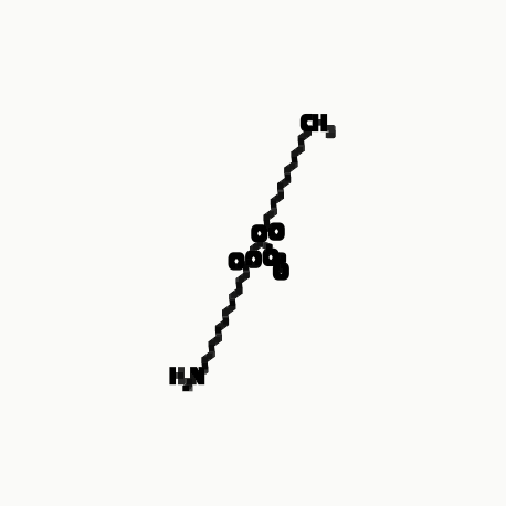 CCCCCCCCCCCCCC(=O)O[C@@H](COP=O)COC(=O)CCCCCCCCCCCCCN